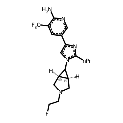 CCCc1nc(-c2cnc(N)c(C(F)(F)F)c2)cn1C1[C@H]2CN(CCF)C[C@@H]12